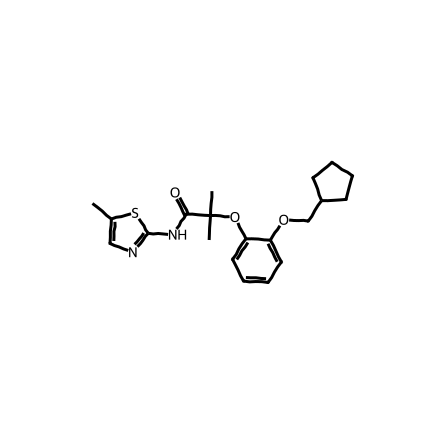 Cc1cnc(NC(=O)C(C)(C)Oc2ccccc2OCC2CCCC2)s1